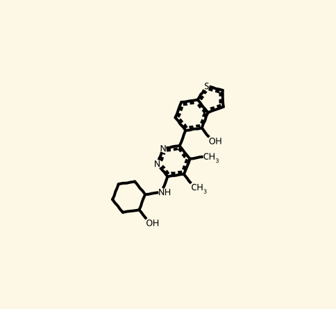 Cc1c(NC2CCCCC2O)nnc(-c2ccc3sccc3c2O)c1C